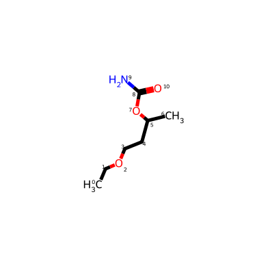 CCOCCC(C)OC(N)=O